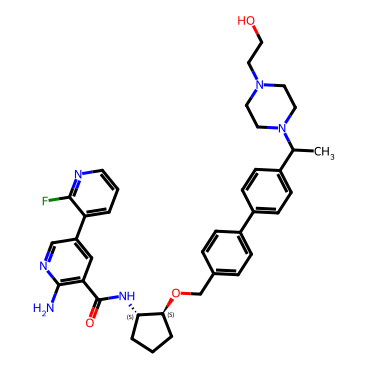 CC(c1ccc(-c2ccc(CO[C@H]3CCC[C@@H]3NC(=O)c3cc(-c4cccnc4F)cnc3N)cc2)cc1)N1CCN(CCO)CC1